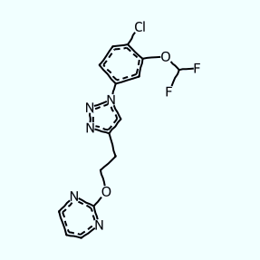 FC(F)Oc1cc(-n2cc(CCOc3ncccn3)nn2)ccc1Cl